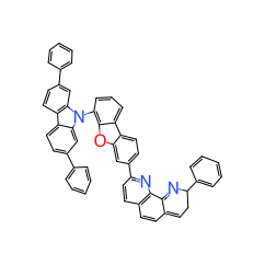 C1=c2ccc3ccc(-c4ccc5c(c4)oc4c(-n6c7cc(-c8ccccc8)ccc7c7ccc(-c8ccccc8)cc76)cccc45)nc3c2=NC(c2ccccc2)C1